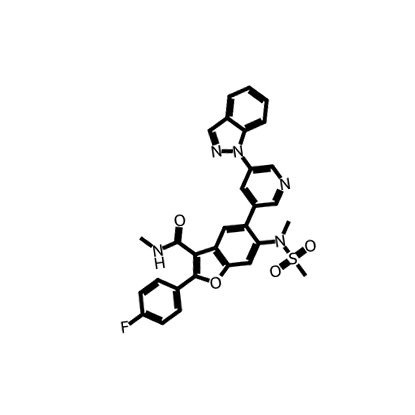 CNC(=O)c1c(-c2ccc(F)cc2)oc2cc(N(C)S(C)(=O)=O)c(-c3cncc(-n4ncc5ccccc54)c3)cc12